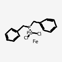 [Cl][Pd]([Cl])[P](Cc1ccccc1)Cc1ccccc1.[Fe]